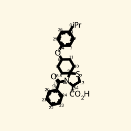 CC(C)c1ccc(OC2CCC3(CC2)SC[C@@H](C(=O)O)N3C(=O)c2ccccc2)cc1